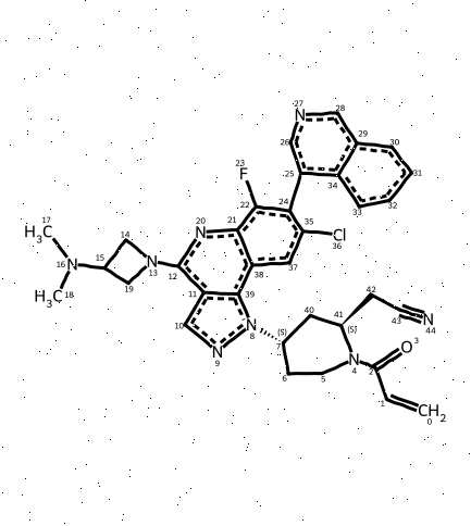 C=CC(=O)N1CC[C@H](n2ncc3c(N4CC(N(C)C)C4)nc4c(F)c(-c5cncc6ccccc56)c(Cl)cc4c32)C[C@H]1CC#N